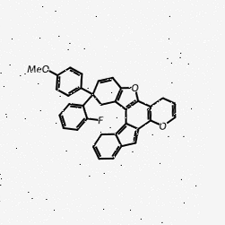 COc1ccc(C2(c3ccccc3F)C=Cc3oc4c5c(c6c(c4c3C2)=C2CC=CC=C2C=6)OC=CC5)cc1